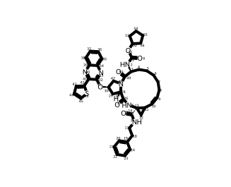 O=C(N[C@H]1CCCCC/C=C\C2C[C@@]2(C(=O)NCCc2ccccc2)NC(=O)[C@@H]2C[C@@H](Oc3nc4ccccc4nc3-c3cccs3)CN2C1=O)OC1CCCC1